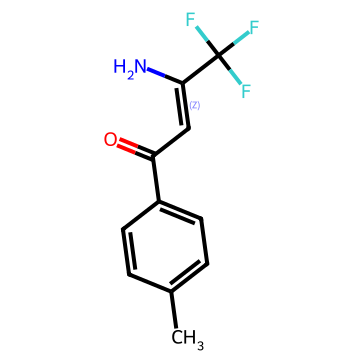 Cc1ccc(C(=O)/C=C(\N)C(F)(F)F)cc1